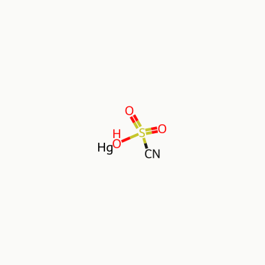 N#CS(=O)(=O)O.[Hg]